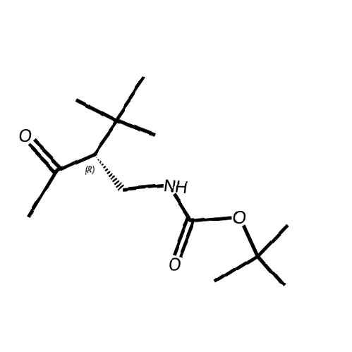 CC(=O)[C@@H](CNC(=O)OC(C)(C)C)C(C)(C)C